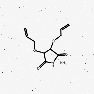 C=CCOC1C(=O)NC(=O)C1OCC=C.N